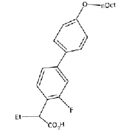 CCCCCCCCOc1ccc(-c2ccc(C(CC)C(=O)O)c(F)c2)cc1